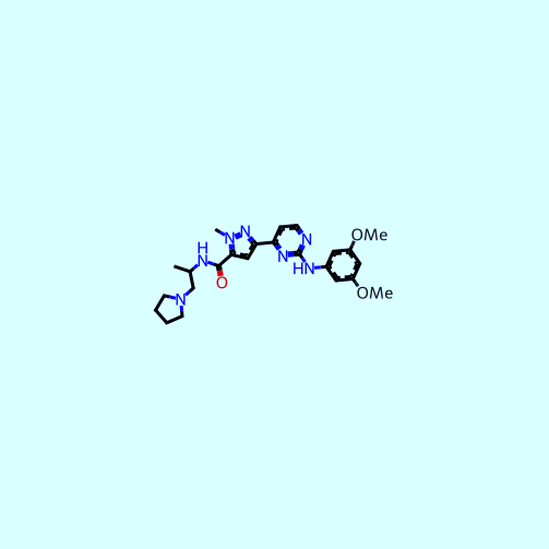 COc1cc(Nc2nccc(-c3cc(C(=O)NC(C)CN4CCCC4)n(C)n3)n2)cc(OC)c1